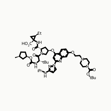 CC[C@@H]1C[C@]1(NC(=O)[C@@H]1C[C@@H](Oc2cc(-n3ccc(NC(C)C)n3)nc3cc(OCCN4CCN(C(=O)OC(C)(C)C)CC4)ccc23)CN1C(=O)[C@@H](NC(=O)O[C@@H]1CC[C@H](C)C1)C(C)(C)C)C(=O)O